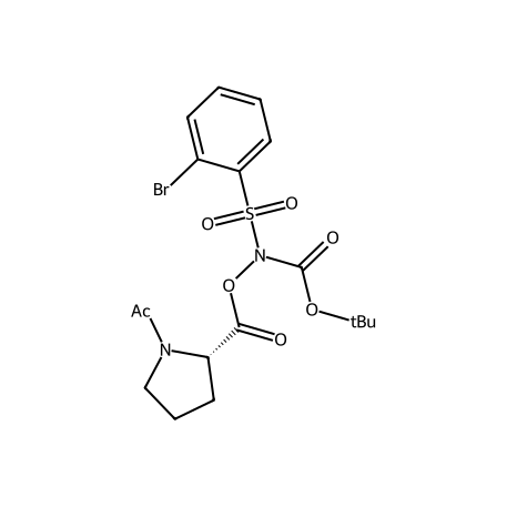 CC(=O)N1CCC[C@H]1C(=O)ON(C(=O)OC(C)(C)C)S(=O)(=O)c1ccccc1Br